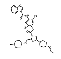 CCOC1CCN([C@H]2C[C@@H](CO[C@H]3CC[C@H](C)CC3)N(C(=O)Cc3cc(Cl)c(NC(=O)c4coc5ccccc45)cc3Cl)C2)CC1